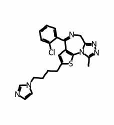 Cc1nnc2n1-c1sc(CCCCn3ccnc3)cc1C(c1ccccc1Cl)=NC2